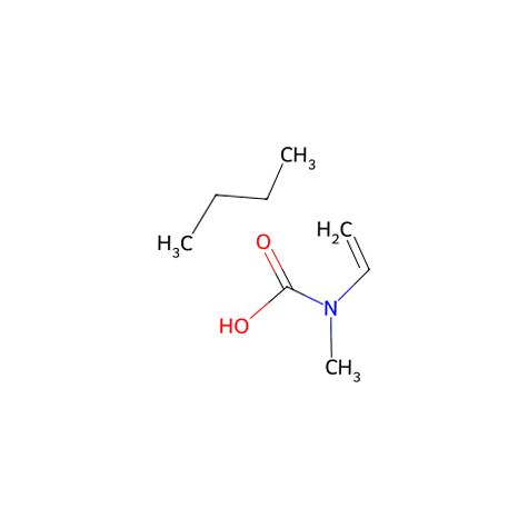 C=CN(C)C(=O)O.CCCC